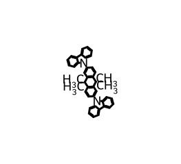 CC1(C)c2ccc(-n3c4ccccc4c4ccccc43)cc2C(C)(C)c2ccc(-n3c4ccccc4c4ccccc43)cc21